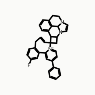 Fc1ccc2c(c1)-c1cc(-c3ccccc3)cc[n+]1C1(/C=C/C2)CC2C1c1cccc3c1C1N(C=CN21)CC3